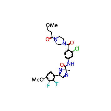 COCCC(=O)N1CCN(C(=O)c2ccc(NC(=O)C3(C)N=CC(c4ccc(OC)c(F)c4F)=N3)cc2Cl)CC1